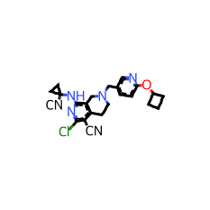 N#Cc1c(Cl)nc(NC2(C#N)CC2)c2c1CCN(Cc1ccc(OC3CCC3)nc1)C2